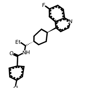 CCC(NC(=O)c1ccc(Cl)cc1)[C@H]1CC[C@H](c2ccnc3ccc(F)cc32)CC1